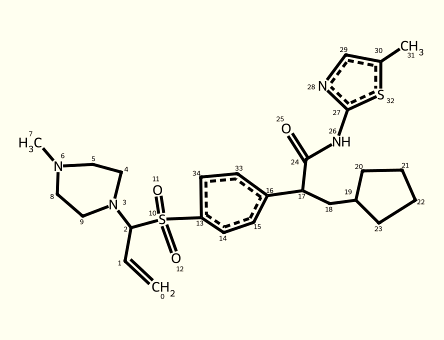 C=CC(N1CCN(C)CC1)S(=O)(=O)c1ccc(C(CC2CCCC2)C(=O)Nc2ncc(C)s2)cc1